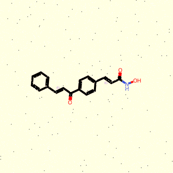 O=C(/C=C/c1ccc(C(=O)/C=C/c2ccccc2)cc1)NO